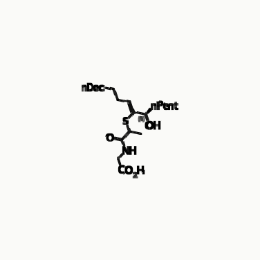 CCCCCCCCCCCCC=C(SC(C)C(=O)NCC(=O)O)[C@H](O)CCCCC